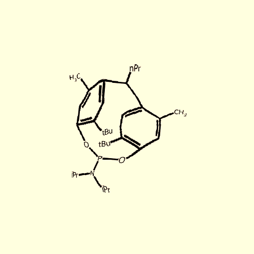 CCCC1c2cc(C(C)(C)C)c(cc2C)OP(N(C(C)C)C(C)C)Oc2cc(C)c1cc2C(C)(C)C